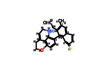 Cc1cc2ccc(F)cc2c(-c2ccc3c4c2NCC=C4CCO3)c1CC=O